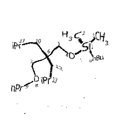 CCCC[Si](C)(C)OCC(COCCC)(CC(C)C)CC(C)C